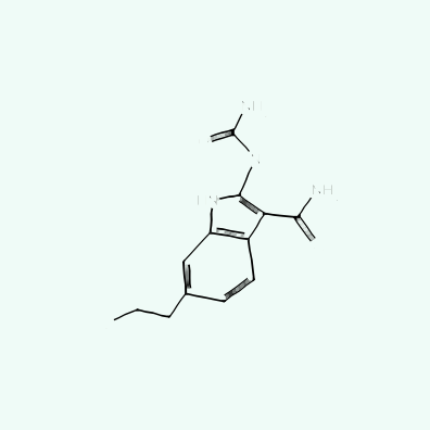 NC(=O)Nc1[nH]c2cc(CCO)ccc2c1C(N)=O